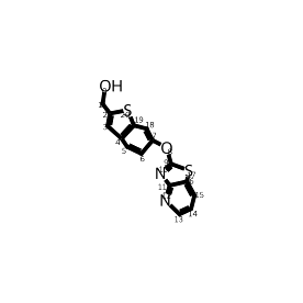 OCc1cc2ccc(Oc3nc4ncccc4s3)cc2s1